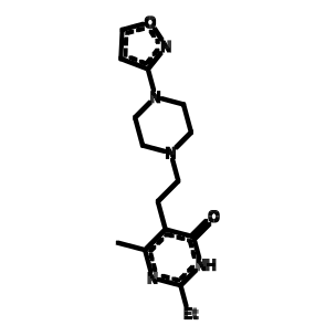 CCc1nc(C)c(CCN2CCN(c3ccon3)CC2)c(=O)[nH]1